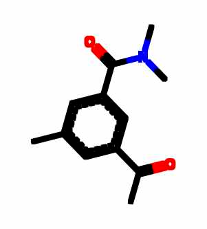 CC(=O)c1cc(C)cc(C(=O)N(C)C)c1